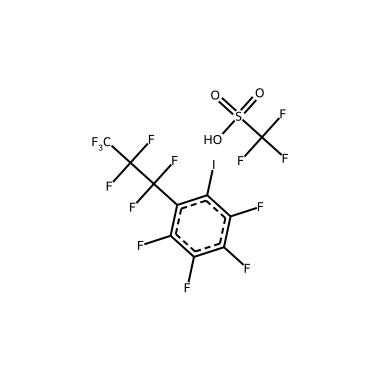 Fc1c(F)c(F)c(C(F)(F)C(F)(F)C(F)(F)F)c(I)c1F.O=S(=O)(O)C(F)(F)F